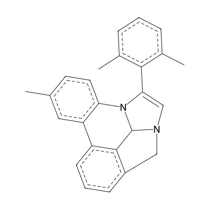 Cc1ccc2c(c1)-c1cccc3c1C1N(C=C(c4c(C)cccc4C)N21)C3